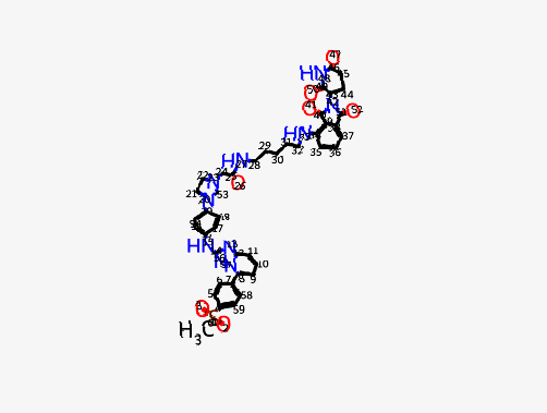 CS(=O)(=O)c1ccc(-c2cccc3nc(Nc4ccc(N5CCN(CC(=O)NCCCCCNc6cccc7c6C(=O)N(C6CCC(=O)NC6=O)C7=O)C5)cc4)nn23)cc1